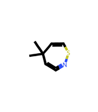 CC1(C)C=C=NSC=C1